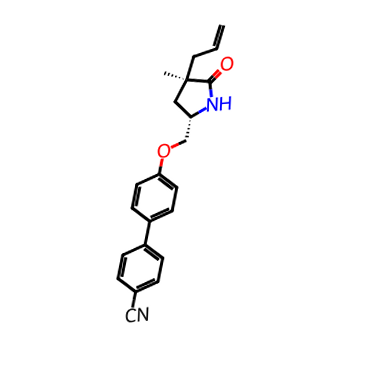 C=CC[C@]1(C)C[C@@H](COc2ccc(-c3ccc(C#N)cc3)cc2)NC1=O